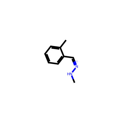 CN/N=C\c1ccccc1C